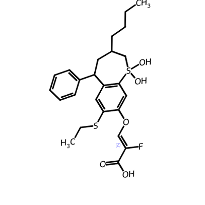 CCCCC1CC(c2ccccc2)c2cc(SCC)c(O/C=C(\F)C(=O)O)cc2S(O)(O)C1